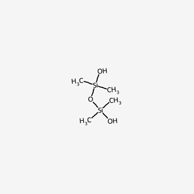 C[Si](C)(O)O[Si](C)(C)O